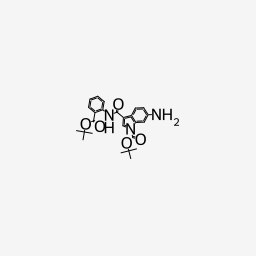 CC(C)(C)OC(=O)c1ccccc1NC(=O)c1cn(C(=O)OC(C)(C)C)c2cc(N)ccc12